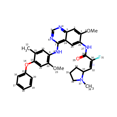 COc1cc2ncnc(Nc3cc(C)c(Oc4ccccc4)cc3OC)c2cc1NC(=O)/C(F)=C\C1CCCN1C